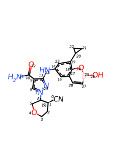 N#C[C@H]1CCOCC1n1cc(C(N)=O)c(Nc2cc3c(c(C4CC4)c2)OB(O)C=C3)n1